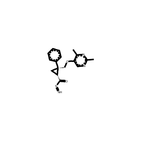 Cc1ncc(OC[C@@]2(c3ccccc3)C[C@H]2C(=O)N=N)c(C)n1